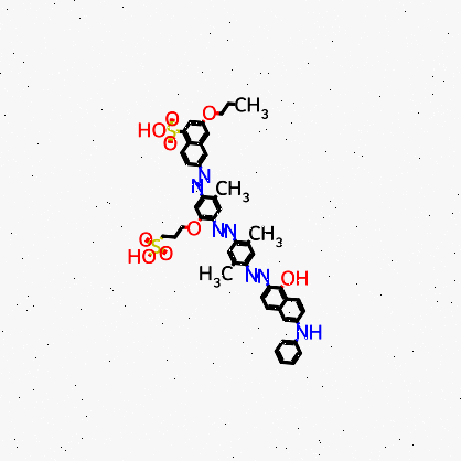 CCCOc1cc(S(=O)(=O)O)c2ccc(N=Nc3cc(OCCCS(=O)(=O)O)c(N=Nc4cc(C)c(N=Nc5ccc6cc(Nc7ccccc7)ccc6c5O)cc4C)cc3C)cc2c1